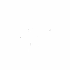 C=C.Cl.N=C(N)NO